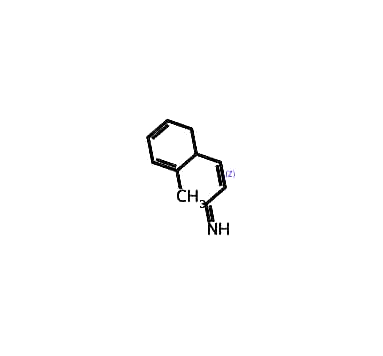 CC1=CC=CCC1/C=C\C=N